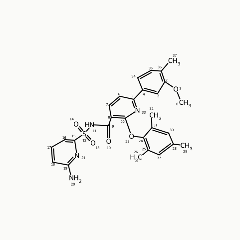 COc1cc(-c2ccc(C(=O)NS(=O)(=O)c3cccc(N)n3)c(Oc3c(C)cc(C)cc3C)n2)ccc1C